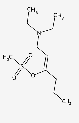 CCCC(=CCN(CC)CC)OS(C)(=O)=O